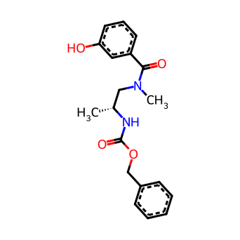 C[C@H](CN(C)C(=O)c1cccc(O)c1)NC(=O)OCc1ccccc1